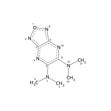 CN(C)c1nc2nonc2nc1N(C)C